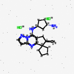 C=C1Cc2c(nc3ccnn3c2N[C@H]2CC[C@H](N)C2)C12CCCC2.Cl.Cl